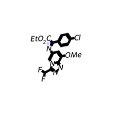 CCOC(=O)/C(=N/c1cc(OC)c2nnc(C(F)F)n2c1)c1ccc(Cl)cc1